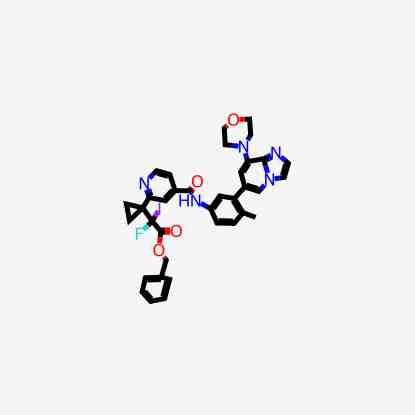 Cc1ccc(NC(=O)c2ccnc(C3(C(F)(I)C(=O)OCc4ccccc4)CC3)c2)cc1-c1cc(N2CCOCC2)c2nccn2c1